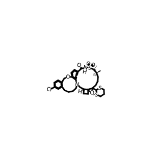 CO[C@]1(C2SCCCS2)CCC[C@H](C)[C@@H](C)S(=O)(=O)NC(=O)c2ccc3c(c2)N(CCCCc2cc(Cl)ccc2CO3)C[C@@H]2CC[C@H]21